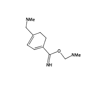 CNCOC(=N)C1=CC=C(CNC)CC1